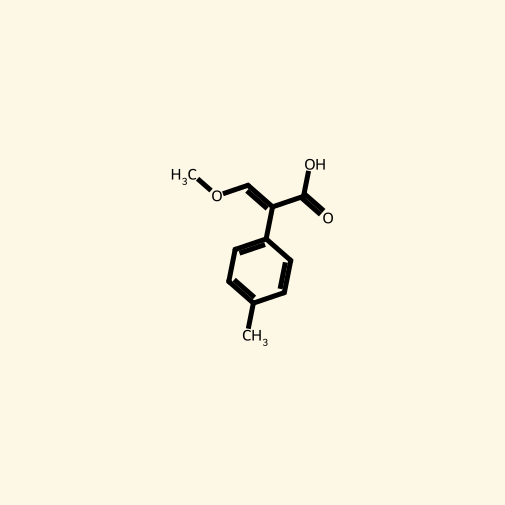 CO/C=C(/C(=O)O)c1ccc(C)cc1